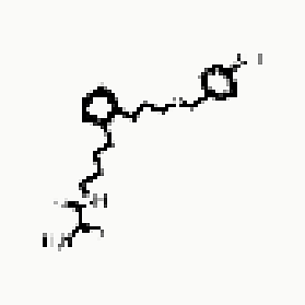 NC(=O)C(=O)NCCCCc1ccccc1CCCOCc1ccc(O)cc1